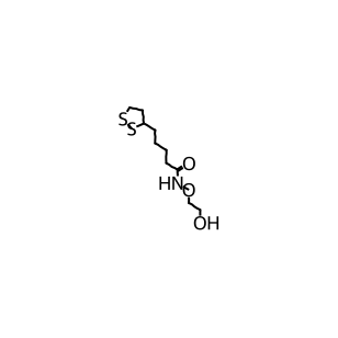 O=C(CCCCC1CCSS1)NOCCO